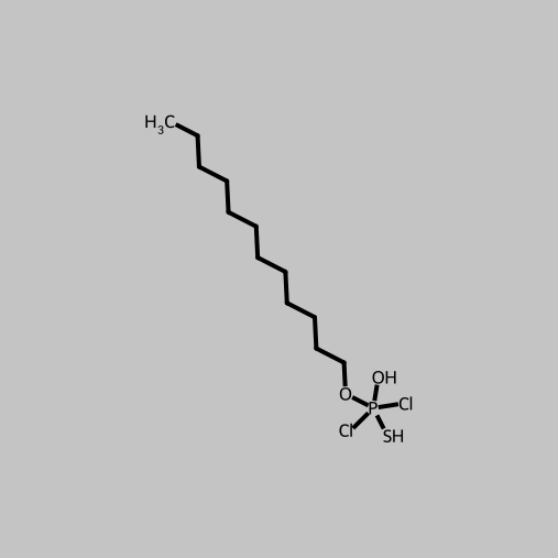 CCCCCCCCCCCCOP(O)(S)(Cl)Cl